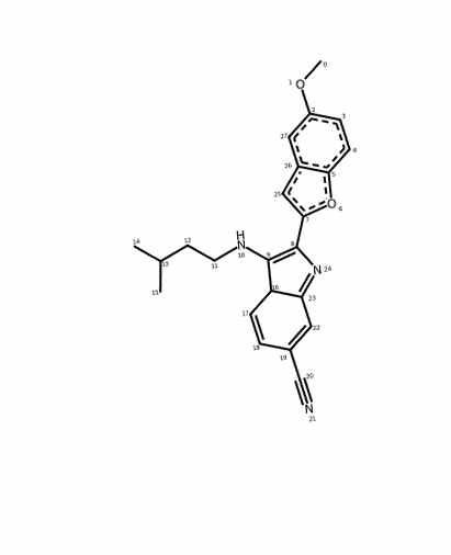 COc1ccc2oc(C3=C(NCCC(C)C)C4C=CC(C#N)=CC4=N3)cc2c1